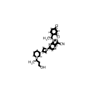 C[C@H](CCO)N1CCC[C@H](C2CN(c3cnc4c(C#N)nn([C@H](C)c5ccc(Cl)cc5Cl)c4n3)C2)C1